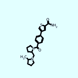 CC1CCCN1CC1CCCN1C(=O)c1ccc(-c2csc(C(N)=O)c2)cc1